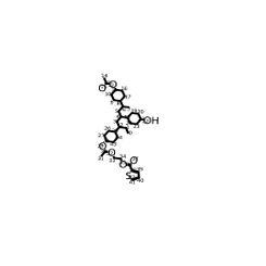 CCC(CC(CC(C)C1CCC(OC(C)=O)CC1)C1CCC(O)CC1)C1CCC(OC(C)OCCOC(=O)c2cccs2)CC1